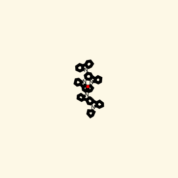 c1ccc(-n2c3ccccc3c3cc4c(cc32)c2ccccc2n4-c2ccc(-n3c4ccccc4c4cc(-n5c6ccccc6c6ccccc65)cc(-n5c6ccccc6c6ccccc65)c43)cc2)cc1